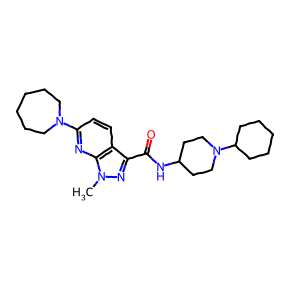 Cn1nc(C(=O)NC2CCN(C3CCCCC3)CC2)c2ccc(N3CCCCCC3)nc21